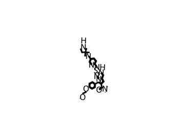 COCCOc1ccc(-c2c(C(=O)N(C)C)cc3cnc(SNc4ccc(N5CC6(CCNC6)C5)cn4)nn23)cc1